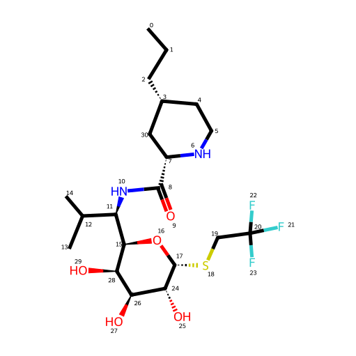 CCC[C@@H]1CCN[C@H](C(=O)N[C@H](C(C)C)[C@H]2O[C@H](SCC(F)(F)F)[C@H](O)[C@@H](O)[C@H]2O)C1